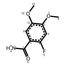 COc1cc(F)c(C(N)=O)cc1OC